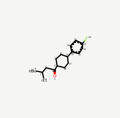 CCCCC(CC)CC(=O)C1CCC(c2ccc(F)cc2)CC1